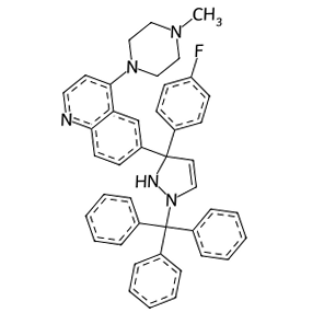 CN1CCN(c2ccnc3ccc(C4(c5ccc(F)cc5)C=CN(C(c5ccccc5)(c5ccccc5)c5ccccc5)N4)cc23)CC1